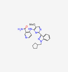 COc1cnc(-c2nn(CC3CCCC3)c3ccccc23)nc1Nc1ccncc1C(N)=O